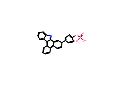 O=P(O)(O)Oc1ccc(C2C=Cc3c(c4c(c5ccccc35)-c3ccccc3N=4)=C2)cc1